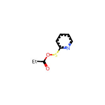 CCC(=O)OSc1ccccn1